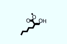 CCCCCC(=CO)C(=O)OC